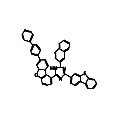 C1=CC2c3c(cccc3C3=NC(c4ccc5c(c4)sc4ccccc45)=NC(c4ccc5ccccc5c4)N3)OC2C=C1c1ccc(-c2ccccc2)cc1